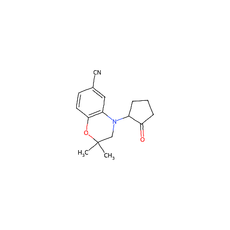 CC1(C)CN(C2CCCC2=O)c2cc(C#N)ccc2O1